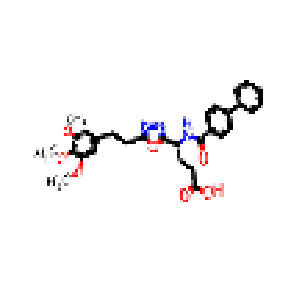 COc1cc(CCc2nnc([C@H](CCC(=O)O)NC(=O)c3ccc(-c4ccccc4)cc3)o2)cc(OC)c1OC